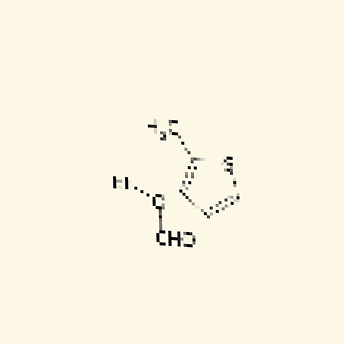 CCOC=O.Cc1cccs1